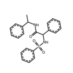 CC(NC(=O)C(NS(=O)(=O)c1ccccc1)c1ccccc1)c1ccccc1